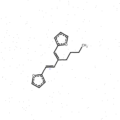 [CH2]CCCC(/[C]=C/c1ccco1)=Cc1ccco1